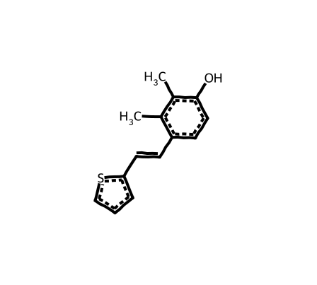 Cc1c(O)ccc(C=Cc2cccs2)c1C